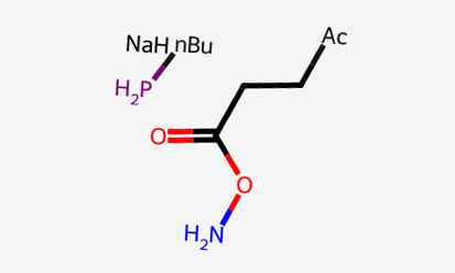 CC(=O)CCC(=O)ON.CCCCP.[NaH]